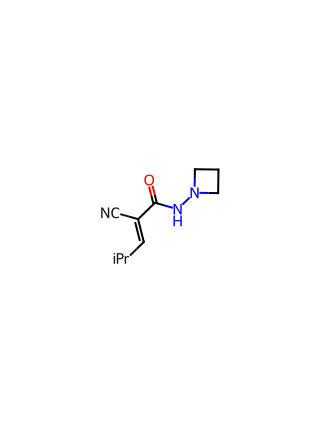 CC(C)C=C(C#N)C(=O)NN1CCC1